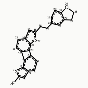 Fc1cc2ccc3c(c2s1)-c1ccc2cc(CCc4ccc5c(c4)CCO5)sc2c1-3